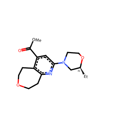 CC[C@H]1CN(c2cc(C(=O)OC)c3c(n2)CCOCC3)CCO1